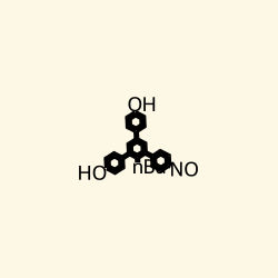 CCCCc1c(-c2ccc(O)cc2)cc(-c2ccc(O)cc2)cc1-c1ccc(N=O)cc1